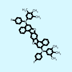 Cc1cc(N(c2ccc(F)cc2)c2cc3oc4cc5c(cc4c3c3ccccc23)oc2cc(N(c3ccc(F)cc3)c3cc(C)c(C)c(C)c3)c3ccccc3c25)cc(C)c1C